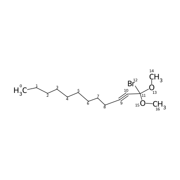 CCCCCCCCCC#CC(Br)(OC)OC